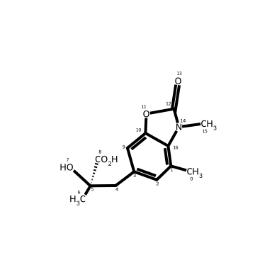 Cc1cc(C[C@@](C)(O)C(=O)O)cc2oc(=O)n(C)c12